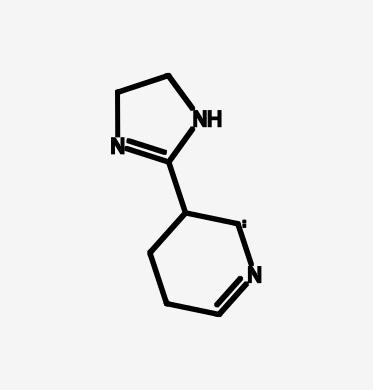 [C]1N=CCCC1C1=NCCN1